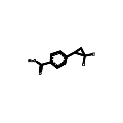 COC(=O)c1ccc(C2CC2(Cl)Cl)cc1